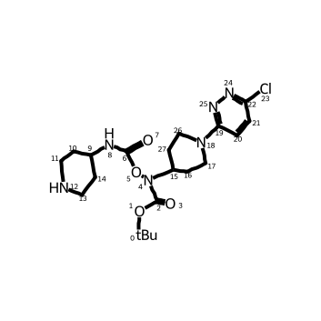 CC(C)(C)OC(=O)N(OC(=O)NC1CCNCC1)C1CCN(c2ccc(Cl)nn2)CC1